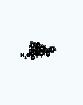 COC(=O)C(Cc1ccc(OC(=O)N2CCCC2)cc1)NC(=O)[C@@H]1CCCN1S(=O)(=O)c1ccccc1